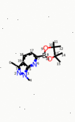 Cc1nn(C)c2nc(B3OC(C)(C)C(C)(C)O3)ccc12